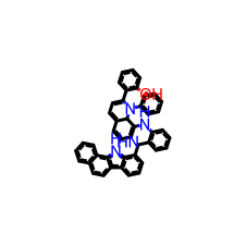 N=C(c1ccccc1NC1=CC=CC2=CC=C(c3ccccc3O)N(c3ccccc3)C21)c1cccc2c1[nH]c1c3ccccc3ccc21